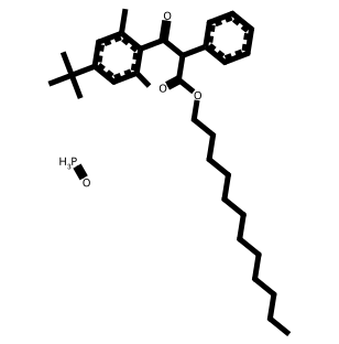 CCCCCCCCCCCCOC(=O)C(C(=O)c1c(C)cc(C(C)(C)C)cc1C)c1ccccc1.O=[PH3]